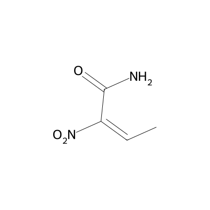 CC=C(C(N)=O)[N+](=O)[O-]